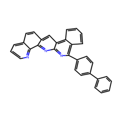 c1ccc(-c2ccc(-c3nc4nc5c(ccc6cccnc65)cc4c4ccccc34)cc2)cc1